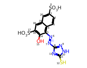 O=S(=O)(O)c1ccc2c(/N=N/c3n[nH]c(S)n3)c(O)c(S(=O)(=O)O)cc2c1